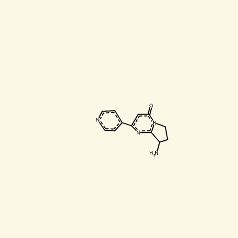 NC1CCn2c1nc(-c1ccncc1)cc2=O